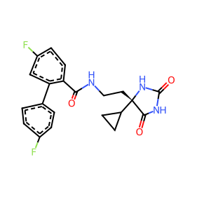 O=C1NC(=O)[C@](CCNC(=O)c2ccc(F)cc2-c2ccc(F)cc2)(C2CC2)N1